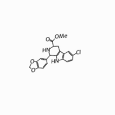 COC(=O)C1Cc2c([nH]c3ccc(Cl)cc23)C(c2ccc3c(c2)OCO3)N1